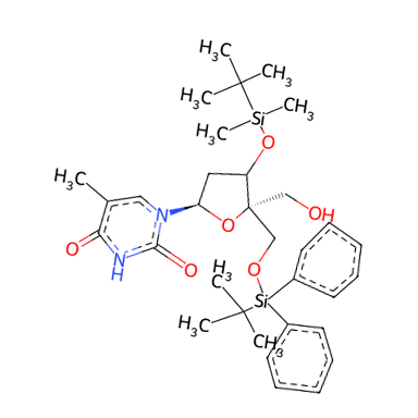 Cc1cn([C@H]2CC(O[Si](C)(C)C(C)(C)C)[C@@](CO)(CO[Si](c3ccccc3)(c3ccccc3)C(C)(C)C)O2)c(=O)[nH]c1=O